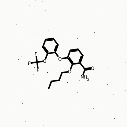 CCCCOc1c(Oc2ccccc2OC(F)(F)F)cccc1C(N)=O